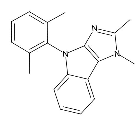 Cc1cccc(C)c1-n1c2ccccc2c2c1nc(C)n2C